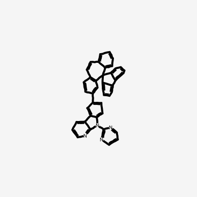 C1=Cc2ccc(-c3ccc4c(c3)c3cccnc3n4-c3ncccn3)cc2C2(c3ccccc31)c1ccccc1-c1ccccc12